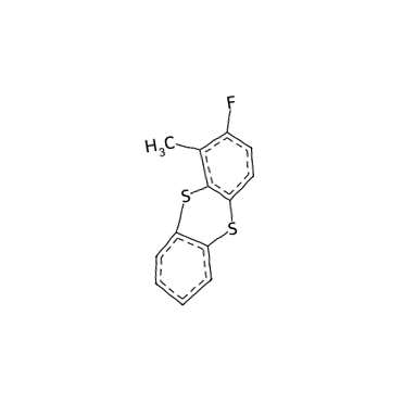 Cc1c(F)ccc2c1Sc1ccccc1S2